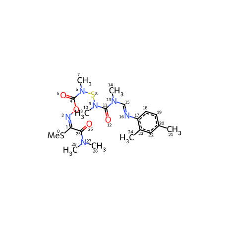 CSC(=NOC(=O)N(C)SN(C)C(=O)N(C)C=Nc1ccc(C)cc1C)C(=O)N(C)C